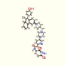 CC/C(=C(\c1ccc(O)cc1)c1ccc(N2CCC(CN3CCN(c4ccc(CC(=O)N(C)C5CCC(=O)NC5=O)nc4)CC3)CC2)cc1)c1ccccc1